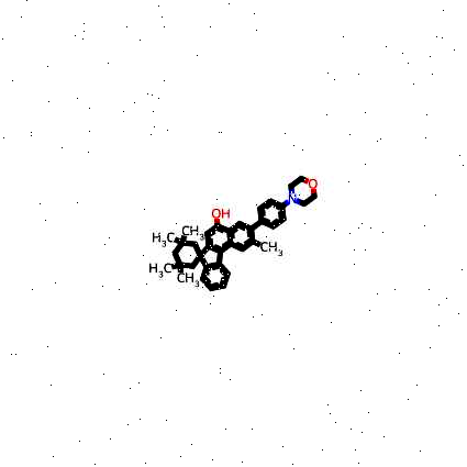 Cc1cc2c3c(cc(O)c2cc1-c1ccc(N2CCOCC2)cc1)C1(CC(C)(C)CC(C)(C)C1)c1ccccc1-3